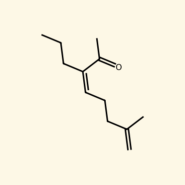 C=C(C)CCC=C(CCC)C(C)=O